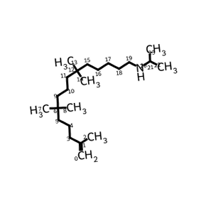 C=C(C)CCCC(C)(C)CCCC(C)(C)CCCCCNC(C)C